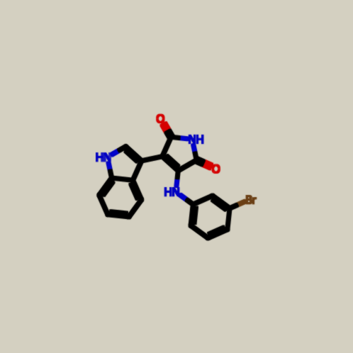 O=C1NC(=O)C(c2c[nH]c3ccccc23)=C1Nc1cccc(Br)c1